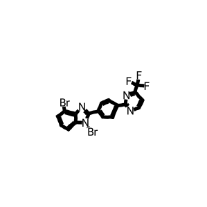 FC(F)(F)c1ccnc(-c2ccc(-c3nc4c(Br)cccc4n3Br)cc2)n1